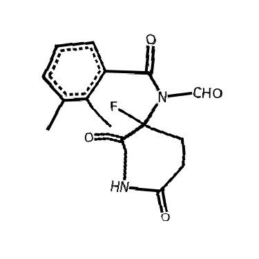 Cc1cccc(C(=O)N(C=O)C2(F)CCC(=O)NC2=O)c1C